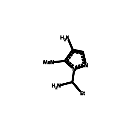 CCC(N)n1ncc(N)c1NC